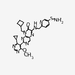 COc1ncnc(C2CC2)c1-c1ncc2nc(NCc3ccc(SN)cn3)c(=O)n(CC3CCC3)c2n1